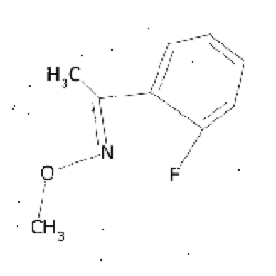 CON=C(C)c1ccccc1F